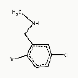 CNCc1cc(Cl)ccc1Br